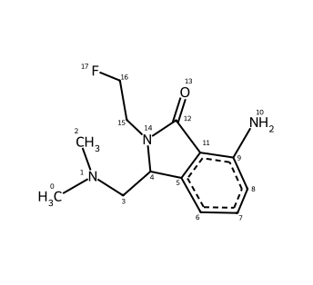 CN(C)CC1c2cccc(N)c2C(=O)N1CCF